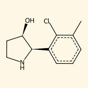 Cc1cccc([C@H]2NCC[C@H]2O)c1Cl